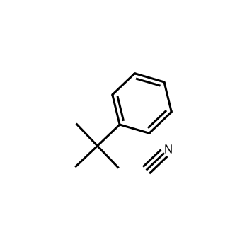 C#N.CC(C)(C)c1ccccc1